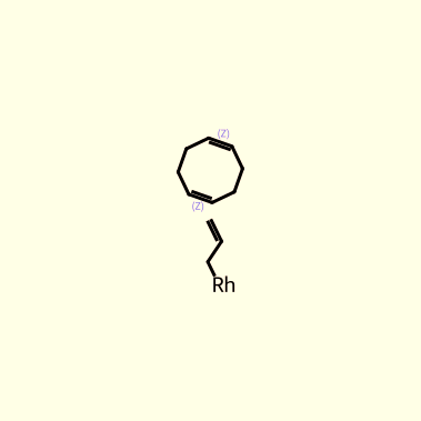 C1=C\CC/C=C\CC/1.C=C[CH2][Rh]